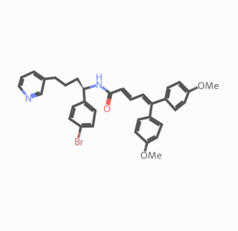 COc1ccc(C(=C/C=C/C(=O)N[C@H](CCCc2cccnc2)c2ccc(Br)cc2)c2ccc(OC)cc2)cc1